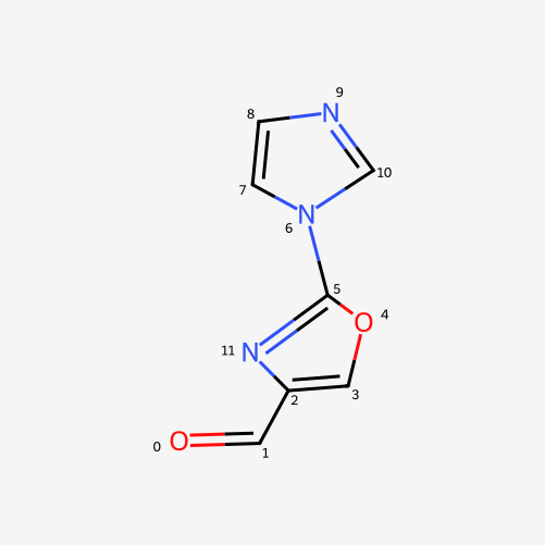 O=Cc1coc(-n2ccnc2)n1